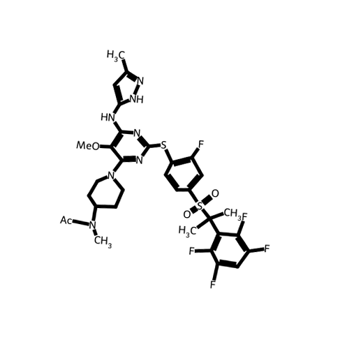 COc1c(Nc2cc(C)n[nH]2)nc(Sc2ccc(S(=O)(=O)C(C)(C)c3c(F)c(F)cc(F)c3F)cc2F)nc1N1CCC(N(C)C(C)=O)CC1